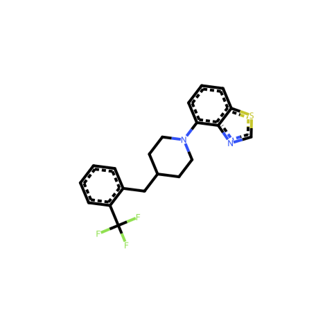 FC(F)(F)c1ccccc1CC1CCN(c2cccc3scnc23)CC1